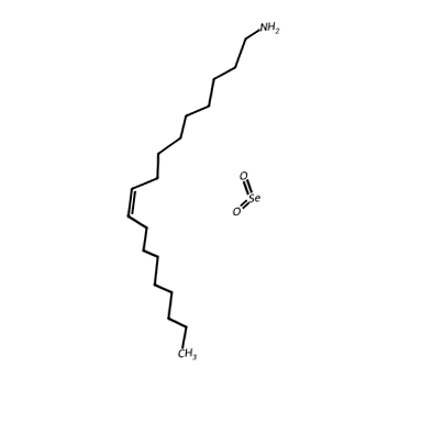 CCCCCCCC/C=C\CCCCCCCCN.O=[Se]=O